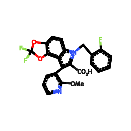 COc1ncccc1-c1c(C(=O)O)n(Cc2ccccc2F)c2ccc3c(c12)OC(F)(F)O3